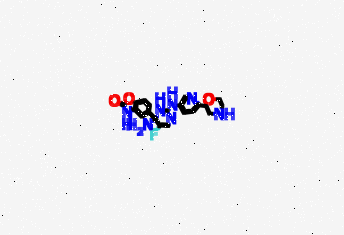 NC1(c2ccc3oc(=O)[nH]c3c2)NC(Nc2ccc(C3CNCCO3)nc2)=NC=C1F